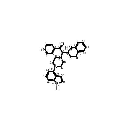 O=C(c1ccncc1)C(C1CCc2ccccc2N1)N1CCN(c2cccc3[nH]ccc23)CC1